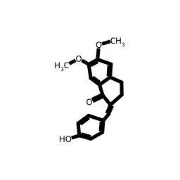 COc1cc2c(cc1OC)C(=O)C(=Cc1ccc(O)cc1)CC2